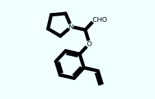 C=Cc1ccccc1OC(C=O)N1CCCC1